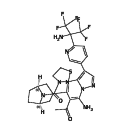 CC(=O)c1c(C2C[C@H]3CC[C@@H](C2)N3C(=O)N2CCSC2)nc2c(-c3ccc(C(N)(C(F)(F)F)C(F)(F)F)nc3)cnn2c1N